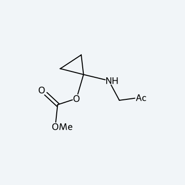 COC(=O)OC1(NCC(C)=O)CC1